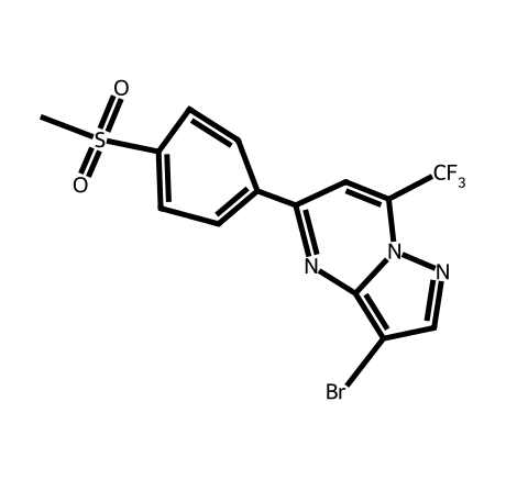 CS(=O)(=O)c1ccc(-c2cc(C(F)(F)F)n3ncc(Br)c3n2)cc1